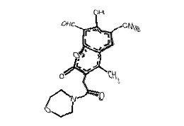 COc1cc2c(C)c(C(=O)N3CCOCC3)c(=O)oc2c(C=O)c1O